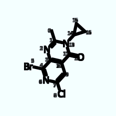 Cc1nc2c(Br)nc(Cl)cc2c(=O)n1C1CC1